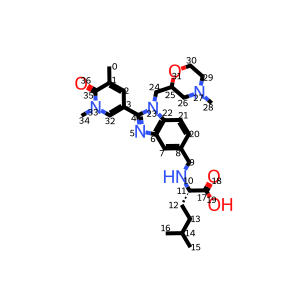 Cc1cc(-c2nc3cc(CN[C@@H](CCC(C)C)C(=O)O)ccc3n2CC2CN(C)CCO2)cn(C)c1=O